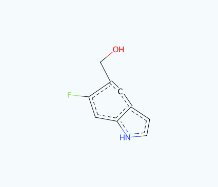 OCc1cc2cc[nH]c2cc1F